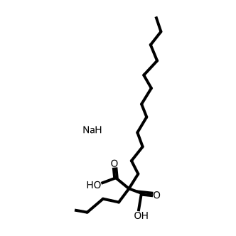 CCCCCCCCCCCCC(CCCC)(C(=O)O)C(=O)O.[NaH]